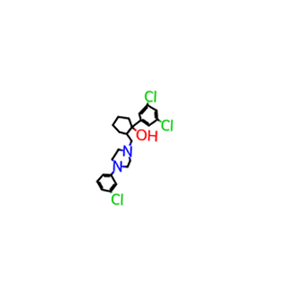 OC1(c2cc(Cl)cc(Cl)c2)CCCCC1CN1CCN(c2cccc(Cl)c2)CC1